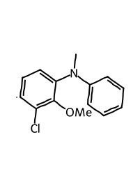 COc1c(Cl)[c]ccc1N(C)c1ccccc1